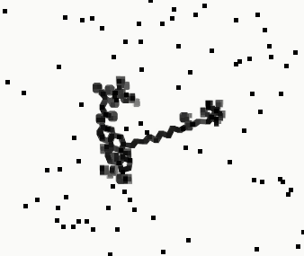 CC1(C)OC(=O)C(CC(=O)Oc2ccc3c(c2)C[C@@H](CCCCCCCCC[S+]([O-])CCCC(F)(F)C(F)(F)F)[C@@H]2[C@@H]3CC[C@]3(C)[C@@H](O)CC[C@@H]23)O1